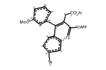 COC(=O)C(CC(=O)O)=C(c1ccc(Br)cc1)c1cccc(OC)c1